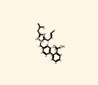 C/C=C/Cc1nc(CC(C)C)nn1Cc1ccc(-c2ccccc2C(=O)O)cc1